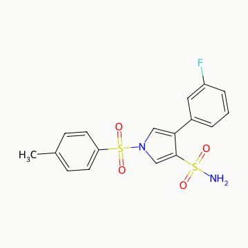 Cc1ccc(S(=O)(=O)n2cc(-c3cccc(F)c3)c(S(N)(=O)=O)c2)cc1